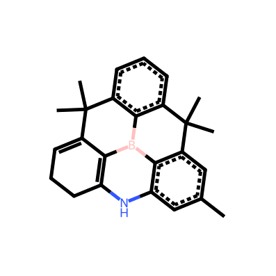 Cc1cc2c3c(c1)C(C)(C)c1cccc4c1B3C1=C(CCC=C1C4(C)C)N2